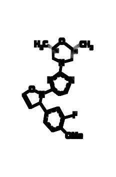 COc1ccc(C2C=CON2c2ccnc(N3C[C@@H](C)O[C@@H](C)C3)n2)cc1F